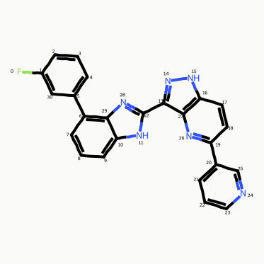 Fc1cccc(-c2cccc3[nH]c(-c4n[nH]c5ccc(-c6cccnc6)nc45)nc23)c1